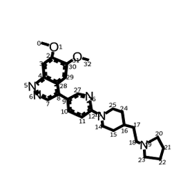 COc1cc2nncc(-c3ccc(N4CCC(CCN5CCCC5)CC4)nc3)c2cc1OC